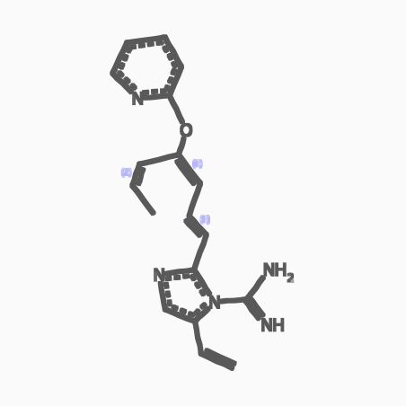 C=Cc1cnc(/C=C/C=C(\C=C/C)Oc2ccccn2)n1C(=N)N